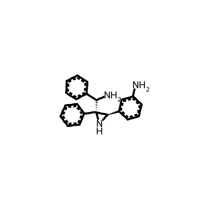 Nc1cccc([C@H]2N[C@]2(c2ccccc2)C(N)c2ccccc2)c1